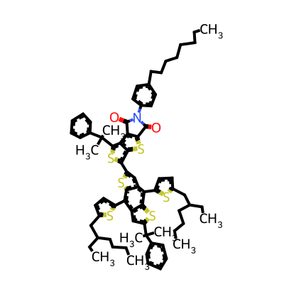 CCCCCCCCc1ccc(N2C(=O)c3sc4c(-c5cc6c(-c7ccc(CC(CC)CCCC)s7)c7sc(C(C)(C)c8ccccc8)cc7c(-c7ccc(CC(CC)CCCC)s7)c6s5)sc(C(C)(C)c5ccccc5)c4c3C2=O)cc1